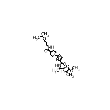 C=C(NC(=O)c1csc(N2CCC(C(=O)NCCCOC(C)C)CC2)n1)C(=O)NC(=C)C(=O)OC